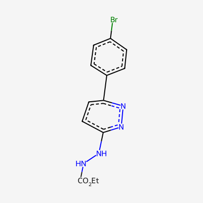 CCOC(=O)NNc1ccc(-c2ccc(Br)cc2)nn1